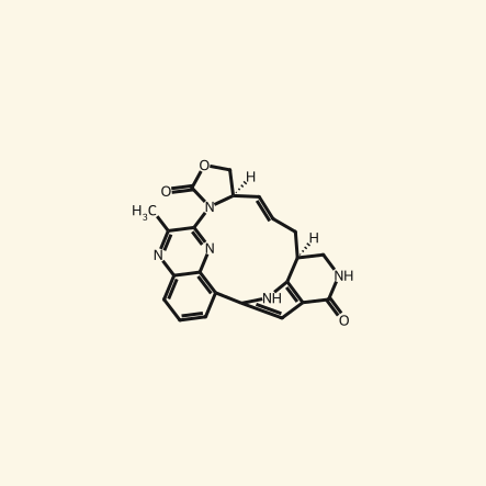 Cc1nc2cccc3c2nc1N1C(=O)OC[C@H]1/C=C/C[C@H]1CNC(=O)c2cc-3[nH]c21